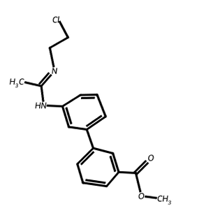 COC(=O)c1cccc(-c2cccc(NC(C)=NCCCl)c2)c1